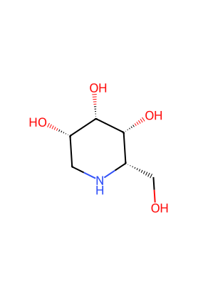 OC[C@@H]1NC[C@H](O)[C@H](O)[C@@H]1O